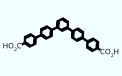 O=C(O)c1ccc(-c2ccc(-c3cccc(-c4ccc(-c5ccc(C(=O)O)cc5)cc4)c3)cc2)cc1